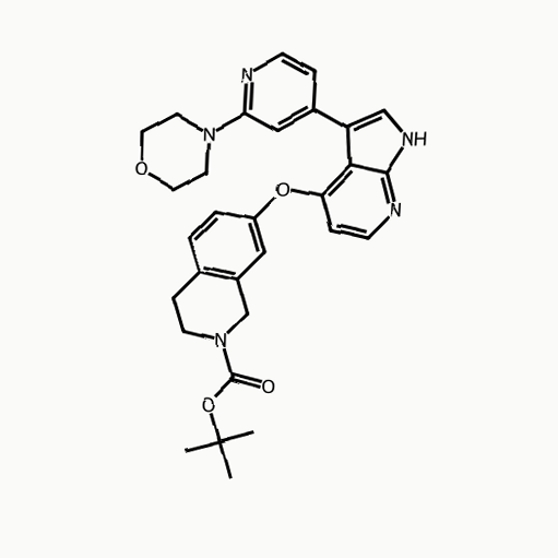 CC(C)(C)OC(=O)N1CCc2ccc(Oc3ccnc4[nH]cc(-c5ccnc(N6CCOCC6)c5)c34)cc2C1